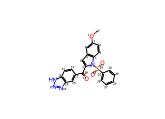 COc1ccc2c(c1)cc(C(=O)c1ccc3[nH]nnc3c1)n2S(=O)(=O)c1ccccc1